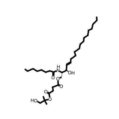 CCCCCCCCCCCCC/C=C/[C@@H](O)[C@H](COC(=O)CCC(=O)OC(C)(C)CO)NC(=O)CCCCCCC